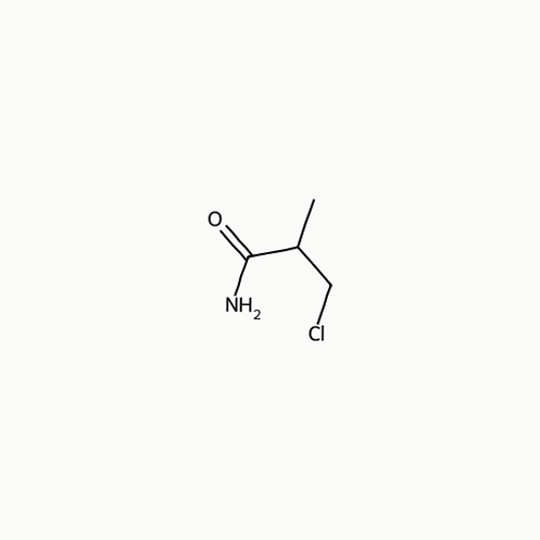 CC(CCl)C(N)=O